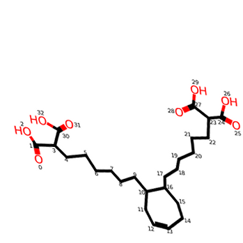 O=C(O)C(CCCCCCC1CC=CCCC1CCCCCCC(C(=O)O)C(=O)O)C(=O)O